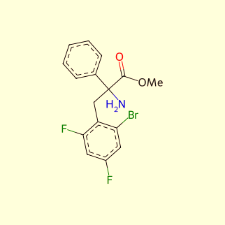 COC(=O)C(N)(Cc1c(F)cc(F)cc1Br)c1ccccc1